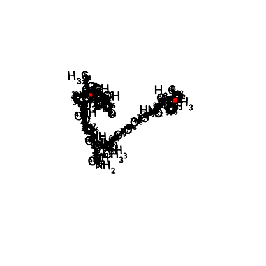 CCCC1O[C@@H]2C[C@H]3[C@@H]4CCC5=CC(=O)C=C[C@]5(C)[C@H]4[C@@H](O)C[C@]3(C)[C@]2(C(=O)COC2CCCCN2C(=O)CNC(=O)OCc2ccc(NC(=O)[C@H](CCCNC(N)=O)NC(=O)[C@@H](NC(=O)CCOCCOCCOCCOCCNC(=O)CCC(=O)N(Cc3ccccc3C)c3ccccc3C)C(C)C)cc2)O1